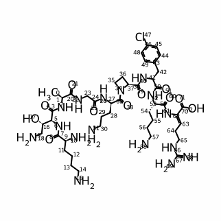 C[C@H](NC(=O)[C@@H](NC(=O)[C@@H](N)CCCCN)[C@@H](O)CN)C(=O)NCC(=O)N[C@H](CCCN)C(=O)N1CC[C@H]1C(=O)N[C@@H](Cc1ccc(Cl)cc1)C(=O)N[C@@H](CCCCN)C(=O)N/C(=C\CCNC(=N)N)C(=O)O